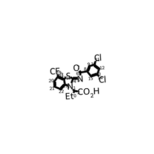 CCC(C(=O)O)n1c(=NC(=O)c2cc(Cl)cc(Cl)c2)sc2c(C(F)(F)F)cccc21